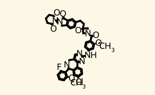 COc1cc(Nc2ncc3c(n2)-c2ccc(Cl)cc2C(c2c(F)cccc2OC)=NC3)ccc1C(=O)N1CC2(CCc3cc4c(cc3O2)CN(N2C(=O)CCCC2=O)C4=O)C1